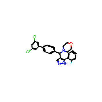 Fc1ccccc1-c1[nH]ncc1C(c1ccc(-c2cc(Cl)cc(Cl)c2)cc1)N1CCOCC1